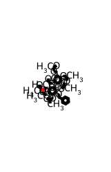 CC(=O)OC[C@@H]1O[C@H](OC(C)=O)[C@@H](O[C@H]2O[C@H](COC(C)=O)[C@@H](OC(C)=O)[C@H](OC(C)=O)[C@@H]2OCc2ccccc2)[C@@H](OC(C)=O)[C@@H]1OC(C)=O